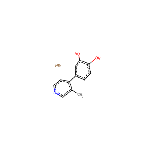 Br.Cc1cnccc1-c1ccc(O)c(O)c1